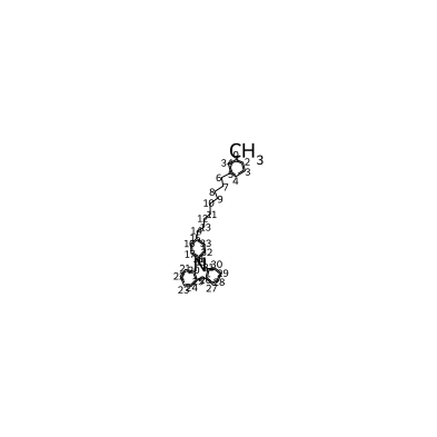 Cc1cccc(CCCCCCCCCc2ccc(-n3c4ccccc4c4ccccc43)cc2)c1